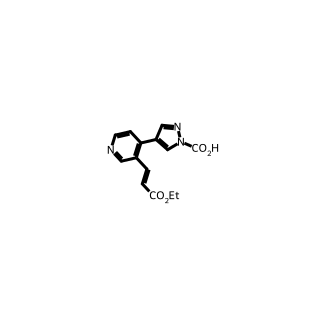 CCOC(=O)/C=C/c1cnccc1-c1cnn(C(=O)O)c1